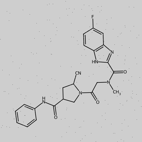 CN(CC(=O)N1CC(C(=O)Nc2ccccc2)CC1C#N)C(=O)c1nc2cc(F)ccc2[nH]1